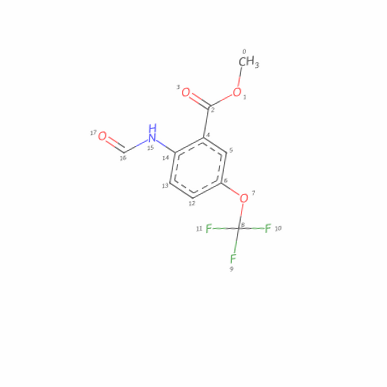 COC(=O)c1cc(OC(F)(F)F)ccc1NC=O